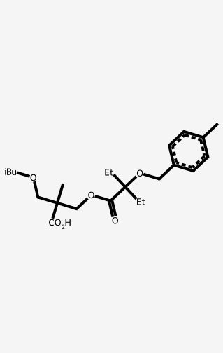 CCC(C)OCC(C)(COC(=O)C(CC)(CC)OCc1ccc(C)cc1)C(=O)O